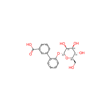 O=C(O)c1cccc(-c2ccccc2O[C@H]2O[C@H](CO)[C@@H](O)[C@H](O)[C@@H]2O)c1